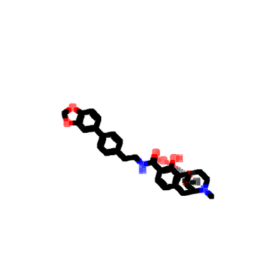 CN1CC[C@]23C[C@@H](O)C=C[C@H]2C1Cc1ccc(C(=O)NCCc2ccc(-c4ccc5c(c4)OCO5)cc2)c(O)c13